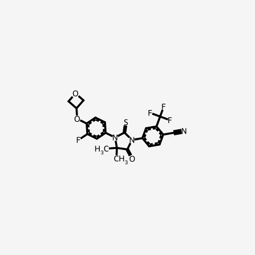 CC1(C)C(=O)N(c2ccc(C#N)c(C(F)(F)F)c2)C(=S)N1c1ccc(OC2COC2)c(F)c1